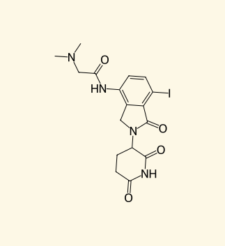 CN(C)CC(=O)Nc1ccc(I)c2c1CN(C1CCC(=O)NC1=O)C2=O